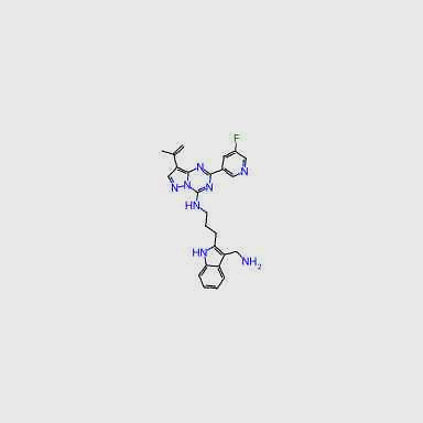 C=C(C)c1cnn2c(NCCCc3[nH]c4ccccc4c3CN)nc(-c3cncc(F)c3)nc12